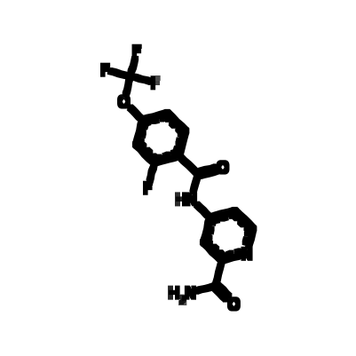 NC(=O)c1cc(NC(=O)c2ccc(OC(F)(F)F)cc2F)ccn1